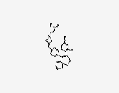 Fc1ccc(C2=C(c3ccc(C=C4CN(CCC(F)F)C4)cc3)c3ccccc3CCC2)c(F)c1